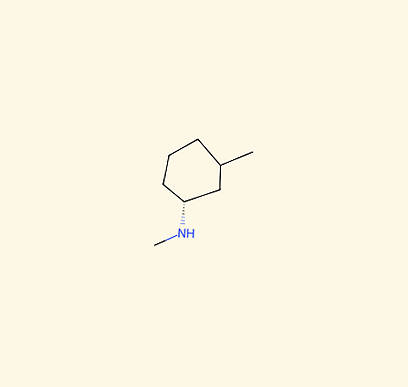 CN[C@@H]1CCCC(C)C1